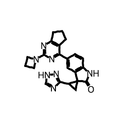 O=C1Nc2ccc(-c3nc(N4CCC4)nc4c3CCC4)cc2C12CC2c1nc[nH]n1